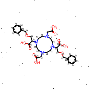 O=C(O)CN1CCN(C(COCc2ccccc2)C(=O)O)CCN(CC(=O)O)CCN(C(COCc2ccccc2)C(=O)O)CC1